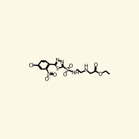 CCOC(=O)CNCCNS(=O)(=O)c1nnc(-c2ccc(Cl)cc2[N+](=O)[O-])s1